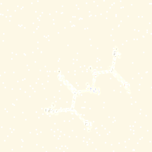 CCCCC(CC)C(=O)NOC(=O)CC